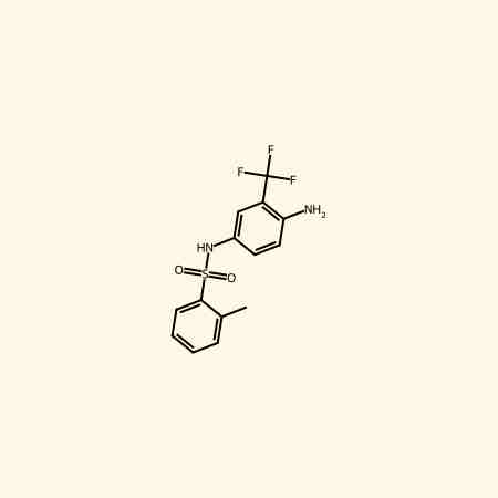 Cc1ccccc1S(=O)(=O)Nc1ccc(N)c(C(F)(F)F)c1